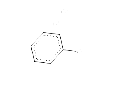 [Ca+2].[O-]c1ccccc1.[SH-]